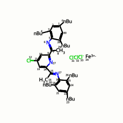 CCCCc1cc(CCCC)c(N=C(C)c2cc(Cl)cc(C(C)=Nc3c(CCCC)cc(CCCC)cc3CCCC)n2)c(CCCC)c1.[Cl-].[Cl-].[Cl-].[Fe+3]